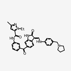 CCn1nc(C)cc1C(=O)Nc1cccc(C(=O)c2ccc3c(c2)NC(=O)C3=CNc2ccc(CN3CCCC3)cc2)c1